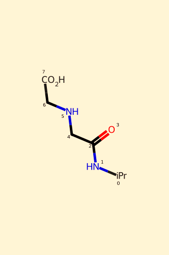 CC(C)NC(=O)CNCC(=O)O